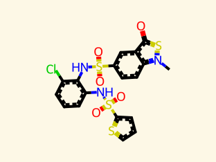 Cn1sc(=O)c2cc(S(=O)(=O)Nc3c(Cl)cccc3NS(=O)(=O)c3cccs3)ccc21